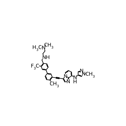 Cc1ccc(-c2ccc(CNCCN(C)C)c(C(F)(F)F)c2)cc1C#Cc1cnc2c(Nc3cnn(C)c3)cccn12